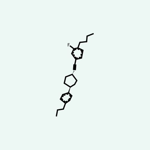 CCCCc1ccc(C#C[C@H]2CC[C@H](c3ccc(CCC)cc3)CC2)cc1F